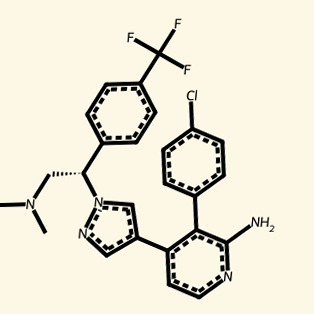 CN(C)C[C@H](c1ccc(C(F)(F)F)cc1)n1cc(-c2ccnc(N)c2-c2ccc(Cl)cc2)cn1